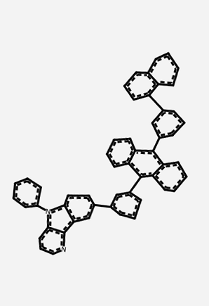 c1ccc(-n2c3ccc(-c4cccc(-c5c6ccccc6c(-c6cccc(-c7cccc8ccccc78)c6)c6ccccc56)c4)cc3c3ncccc32)cc1